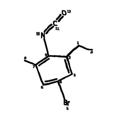 CCc1cc(Br)cc(C)c1N=C=O